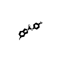 O=C(Oc1ccc(Br)cc1)n1cc2ccc(F)cc2c1